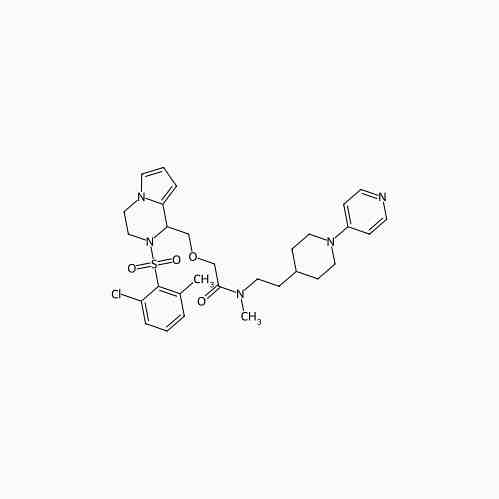 Cc1cccc(Cl)c1S(=O)(=O)N1CCn2cccc2C1COCC(=O)N(C)CCC1CCN(c2ccncc2)CC1